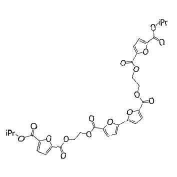 CC(C)OC(=O)c1ccc(C(=O)OCCOC(=O)c2ccc(-c3ccc(C(=O)OCCOC(=O)c4ccc(C(=O)OC(C)C)o4)o3)o2)o1